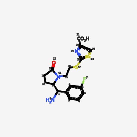 NC(c1cccc(F)c1)[C@H]1CCC(=O)N1CCSc1nc(C(=O)O)cs1